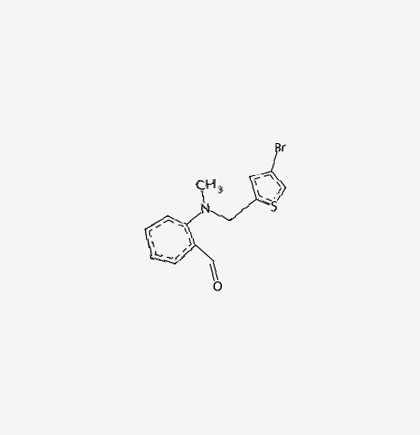 CN(Cc1cc(Br)cs1)c1ccccc1C=O